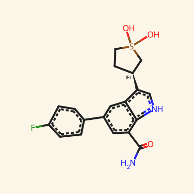 NC(=O)c1cc(-c2ccc(F)cc2)cc2c([C@H]3CCS(O)(O)C3)c[nH]c12